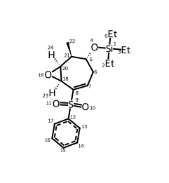 CC[Si](CC)(CC)O[C@@H]1CC=C(S(=O)(=O)c2ccccc2)[C@H]2O[C@H]2[C@H]1C